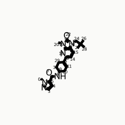 Cn1nccc1C(=O)NC1CC=C(c2ccc3c(n2)n(C)c(=O)n3CC(C)(C)C)CC1